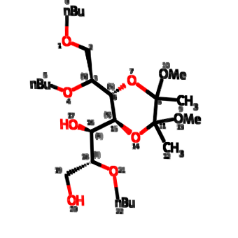 CCCCOC[C@H](OCCCC)[C@@H]1OC(C)(OC)C(C)(OC)O[C@H]1[C@H](O)[C@@H](CO)OCCCC